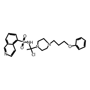 CC(Cl)(NS(=O)(=O)c1cccc2cnccc12)N1CCN(CCCOc2ccccc2)CC1